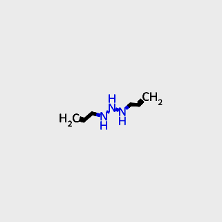 C=CCNNNCC=C